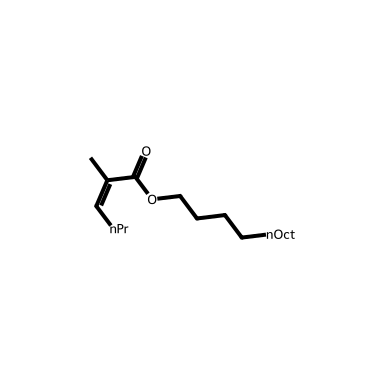 CCCC=C(C)C(=O)OCCCCCCCCCCCC